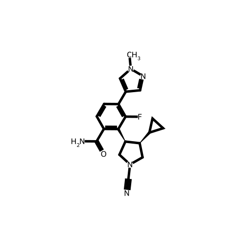 Cn1cc(-c2ccc(C(N)=O)c([C@@H]3CN(C#N)C[C@@H]3C3CC3)c2F)cn1